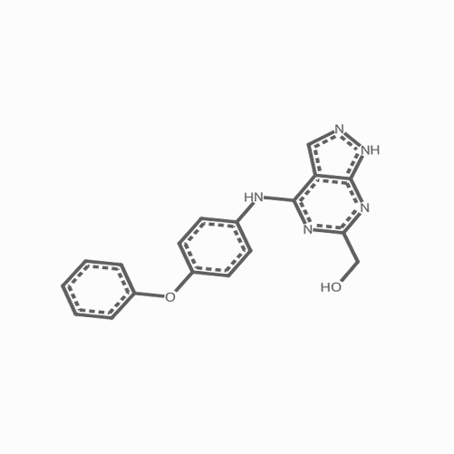 OCc1nc(Nc2ccc(Oc3ccccc3)cc2)c2cn[nH]c2n1